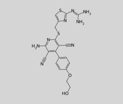 N#Cc1c(N)nc(SCc2csc(N=C(N)N)n2)c(C#N)c1-c1ccc(OCCO)cc1